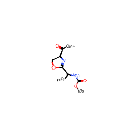 CCCC(NC(=O)OC(C)(C)C)C1=NC(C(=O)OC)CO1